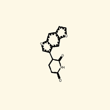 O=C1CCC(c2coc3cc4ccoc4cc23)C(=O)N1